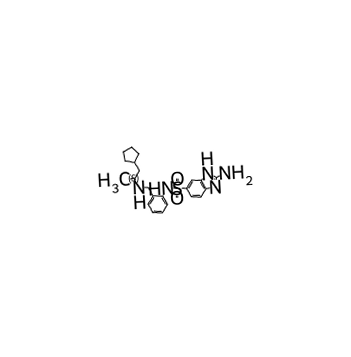 C[C@@H](CC1CCCC1)NCc1ccccc1NS(=O)(=O)c1ccc2nc(N)[nH]c2c1